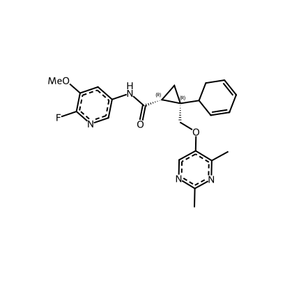 COc1cc(NC(=O)[C@@H]2C[C@@]2(COc2cnc(C)nc2C)C2C=CC=CC2)cnc1F